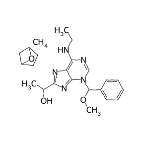 C.C1CC2CC1O2.CCNc1ncn(C(OC)c2ccccc2)c2nc(C(C)O)nc1-2